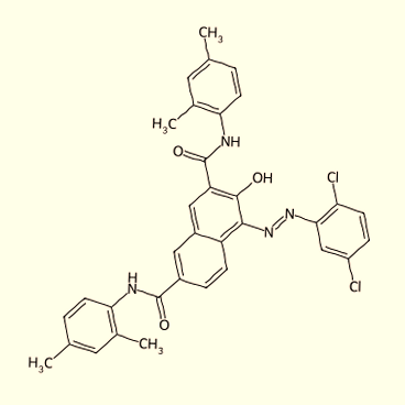 Cc1ccc(NC(=O)c2ccc3c(/N=N/c4cc(Cl)ccc4Cl)c(O)c(C(=O)Nc4ccc(C)cc4C)cc3c2)c(C)c1